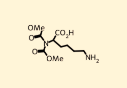 COC(=O)N(C(=O)OC)C(CCCCN)C(=O)O